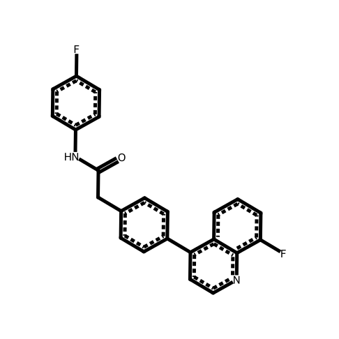 O=C(Cc1ccc(-c2ccnc3c(F)cccc23)cc1)Nc1ccc(F)cc1